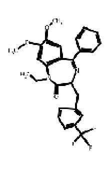 CCN1C(=O)C(Cc2cccc(C(F)(F)F)c2)N=C(c2ccccc2)c2cc(OC)c(OC)cc21